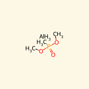 COP(C)(=O)OC.[AlH3]